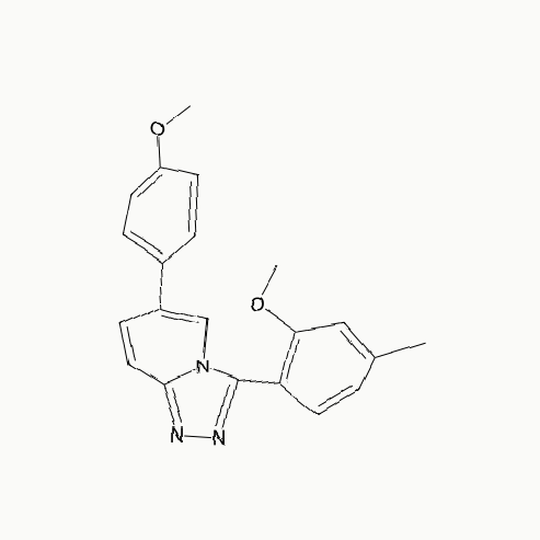 COc1ccc(-c2ccc3nnc(-c4ccc(C)cc4OC)n3c2)cc1